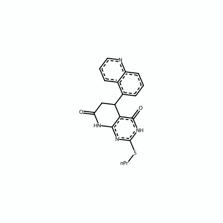 CCCSc1nc2c(c(=O)[nH]1)C(c1cccc3ncccc13)CC(=O)N2